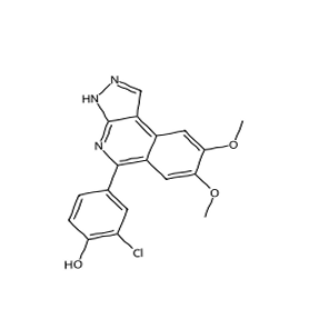 COc1cc2c(-c3ccc(O)c(Cl)c3)nc3[nH]ncc3c2cc1OC